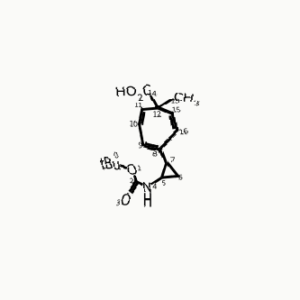 CC(C)(C)OC(=O)NC1CC1C1=CC=CC(C)(C(=O)O)C=C1